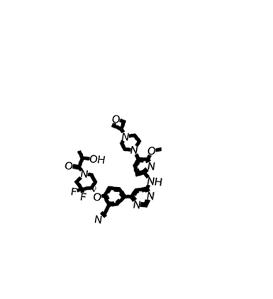 COc1nc(Nc2cc(-c3ccc(O[C@H]4CCN(C(=O)C(C)O)CC4(F)F)c(C#N)c3)ncn2)ccc1N1CCN(C2COC2)CC1